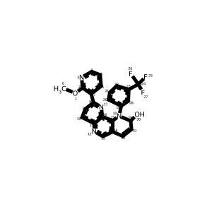 COc1ncccc1-c1ccc2ncc3c(c2n1)N(c1cccc(C(F)(F)F)c1)C(O)C=C3